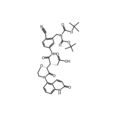 CC(C)(C)OC(=O)N(Cc1cc(NC(=O)[C@H](CC(=O)O)[C@H]2OCCN(c3cccc4[nH]c(=O)ccc34)C2=O)ccc1C#N)C(=O)OC(C)(C)C